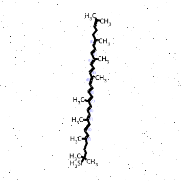 CC(C)=CCC/C(C)=C/C=C/C(C)=C/C=C/C(C)=C/C=C/C=C(C)/C=C/C=C(C)/C=C/C=C(\C)CCCC(C)(C)[SiH3]